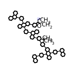 C=Cc1oc2ccc(-c3ccc4c(-c5cccc(-c6cc7ccccc7c7ccccc67)c5)c5ccccc5c(-c5cccc(-c6cc7ccccc7c7c(-c8ccc9c(c8)-c8ccc(-c%10ccc%11c(-c%12ccc(-c%13cccc%14ccccc%13%14)cc%12)c%12ccccc%12c(-c%12ccc(-c%13cccc%14ccccc%13%14)cc%12)c%11c%10)cc8C9(C)C)cccc67)c5)c4c3)cc2c1/C=C\C